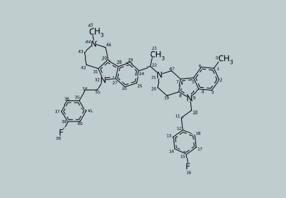 Cc1ccc2c(c1)c1c(n2CCc2ccc(F)cc2)CCN(C(C)c2ccc3c(c2)c2c(n3CCc3ccc(F)cc3)CCN(C)C2)C1